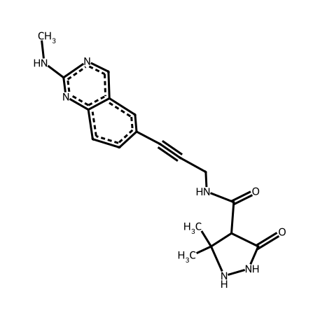 CNc1ncc2cc(C#CCNC(=O)C3C(=O)NNC3(C)C)ccc2n1